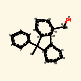 CC1(c2ccccc2)c2ccccc2-c2c(BO)cccc21